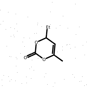 CCC1C=C(C)OC(=O)O1